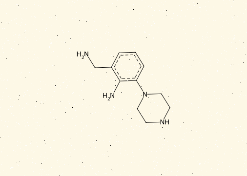 NCc1cccc(N2CCNCC2)c1N